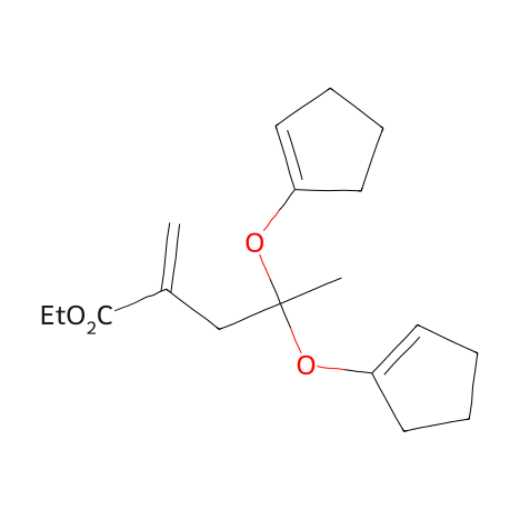 C=C(CC(C)(OC1=CCCC1)OC1=CCCC1)C(=O)OCC